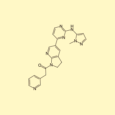 Cn1nccc1Nc1nccc(-c2cnc3c(c2)CCN3C(=O)Cc2cccnc2)n1